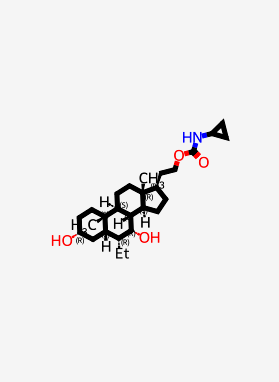 CC[C@H]1[C@@H](O)[C@@H]2[C@H](CC[C@]3(C)[C@@H](CCOC(=O)NC4CC4)CC[C@@H]23)[C@@]2(C)CC[C@@H](O)C[C@@H]12